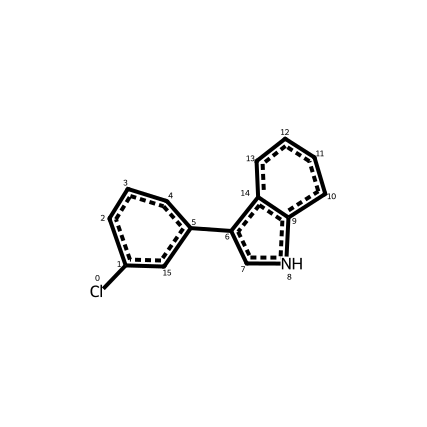 Clc1cccc(-c2c[nH]c3ccccc23)c1